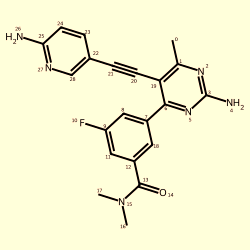 Cc1nc(N)nc(-c2cc(F)cc(C(=O)N(C)C)c2)c1C#Cc1ccc(N)nc1